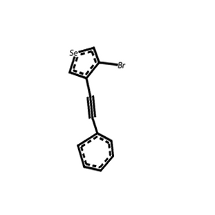 Brc1c[se]cc1C#Cc1ccccc1